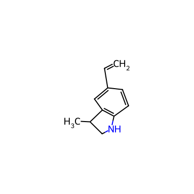 C=Cc1ccc2c(c1)C(C)CN2